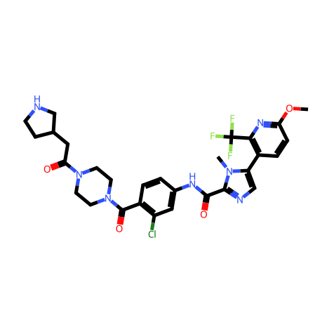 COc1ccc(-c2cnc(C(=O)Nc3ccc(C(=O)N4CCN(C(=O)CC5CCNC5)CC4)c(Cl)c3)n2C)c(C(F)(F)F)n1